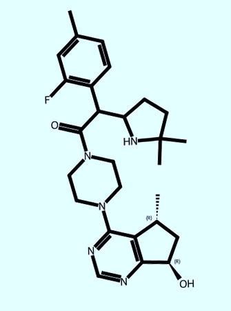 Cc1ccc(C(C(=O)N2CCN(c3ncnc4c3[C@H](C)C[C@H]4O)CC2)C2CCC(C)(C)N2)c(F)c1